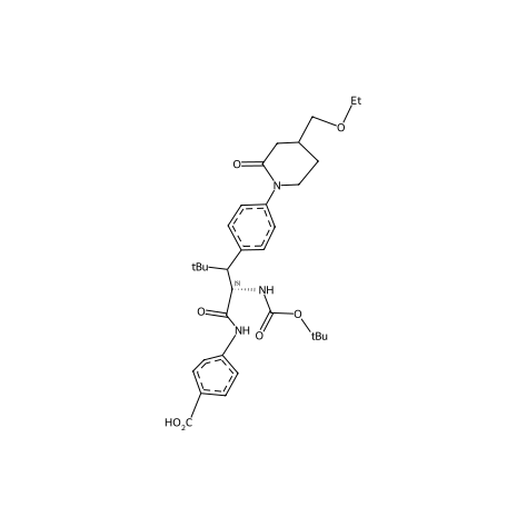 CCOCC1CCN(c2ccc(C([C@H](NC(=O)OC(C)(C)C)C(=O)Nc3ccc(C(=O)O)cc3)C(C)(C)C)cc2)C(=O)C1